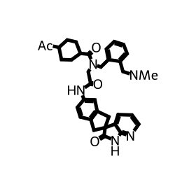 CNCc1ccccc1CN(CC(=O)Nc1ccc2c(c1)CC1(C2)C(=O)Nc2ncccc21)C(=O)C1CCC(C(C)=O)CC1